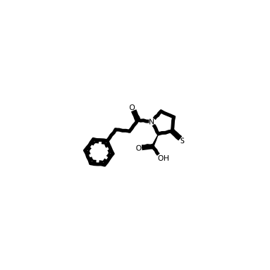 O=C(O)[C@@H]1C(=S)CCN1C(=O)CCc1ccccc1